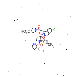 CCC[C@H]1N(C(=O)c2ncccc2C(F)(F)F)CCC[C@@]1(Oc1csc(C(F)(F)F)c1)C(=O)N1CCc2cc(Cl)ccc2[C@H]1CCC(=O)N1CCC(C(=O)O)CC1